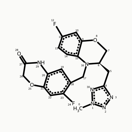 Cn1nnc(C[C@@H]2COc3cc(F)ccc3N2Cc2cc3c(cc2F)OCC(=O)N3)n1